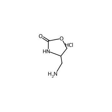 Cl.NCC1COC(=O)N1